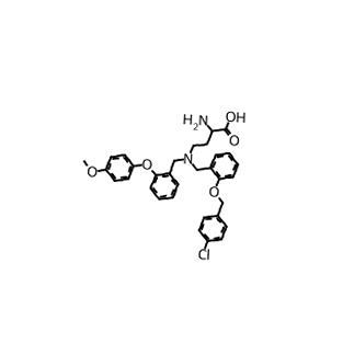 COc1ccc(Oc2ccccc2CN(CCC(N)C(=O)O)Cc2ccccc2OCc2ccc(Cl)cc2)cc1